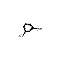 CCCCCCCCc1[c]ccc(CCCCCCCC)c1